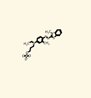 CCN(CCCOS(=O)(=O)[O-])c1ccc(N=Nc2sc3ccccc3[n+]2C)c(C)c1